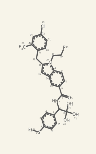 CCSc1ccc(C(NC(=O)c2ccc3c(c2)cc(Cc2ccc(Cl)cc2C(F)(F)F)n3CCF)C(O)(O)O)cc1